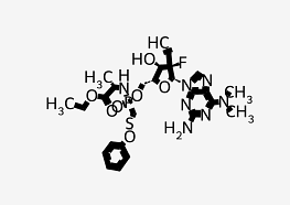 C#C[C@@]1(F)[C@H](O)[C@@H](COP(=O)(CSOc2ccccc2)N[C@H](C)C(=O)OCC)O[C@H]1n1cnc2c(N(C)C)nc(N)nc21